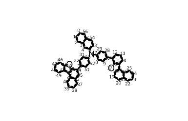 c1ccc2cc(N(c3ccc(-c4cccc5c4oc4ccc6ccccc6c45)cc3)c3ccc(-c4cc5ccccc5c5c4oc4ccccc45)cc3)ccc2c1